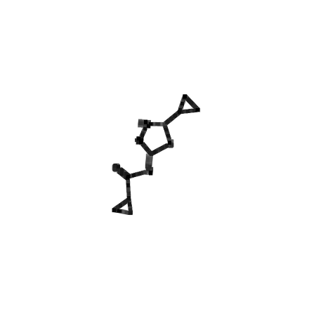 O=C(N=C1[N]NC(C2CC2)S1)C1CC1